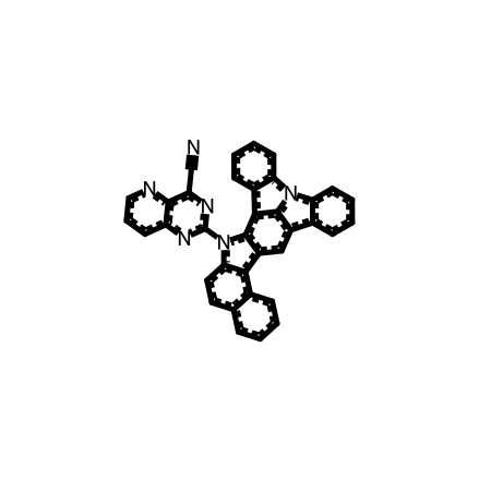 N#Cc1nc(-n2c3ccc4ccccc4c3c3cc4c5ccccc5n5c6ccccc6c(c32)c45)nc2cccnc12